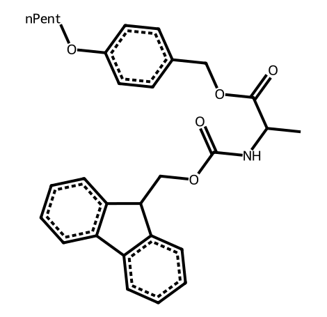 CCCCCOc1ccc(COC(=O)C(C)NC(=O)OCC2c3ccccc3-c3ccccc32)cc1